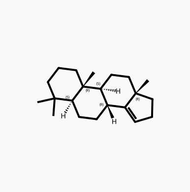 CC1(C)CCC[C@]2(C)[C@H]3CC[C@]4(C)CCC=C4[C@@H]3CC[C@@H]12